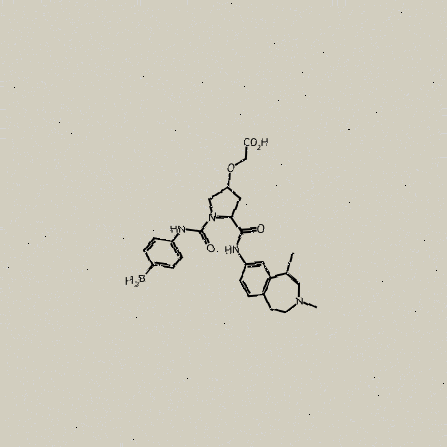 Bc1ccc(NC(=O)N2CC(OCC(=O)O)CC2C(=O)Nc2ccc3c(c2)C(C)CN(C)CC3)cc1